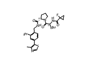 Cc1ncsc1-c1ccc(CNC(=O)[C@@H]2CCCN2C(=O)[C@@H](NC(=O)C2(F)CC2)C(C)(C)C)c(C(C)C)c1